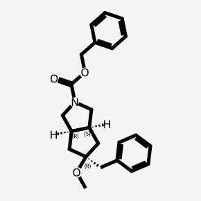 CO[C@@]1(Cc2ccccc2)C[C@H]2CN(C(=O)OCc3ccccc3)C[C@H]2C1